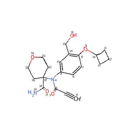 C#CC(=O)N(c1ccc(OC2CCC2)c(CO)c1)C1(C(N)=O)CCOCC1